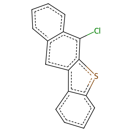 Clc1c2ccccc2cc2c1sc1ccccc12